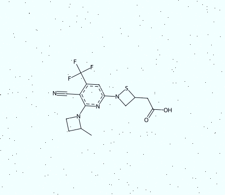 CC1CCN1c1nc(N2CC(CC(=O)O)S2)cc(C(F)(F)F)c1C#N